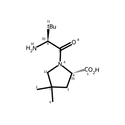 CC1(C)C[C@@H](C(=O)O)N(C(=O)[C@@H](N)C(C)(C)C)C1